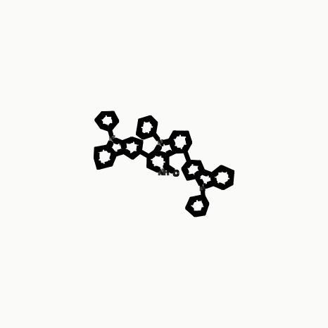 O=c1[nH]cc(-c2ccc3c(c2)c2ccccc2n3-c2ccccc2)c2c1c1c(-c3ccc4c(c3)c3ccccc3n4-c3ccccc3)cccc1n2-c1ccccc1